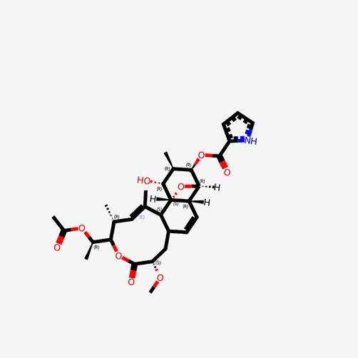 CO[C@H]1CC2C=C[C@H]3[C@H]4O[C@]2(/C(C)=C/[C@@H](C)C([C@@H](C)OC(C)=O)OC1=O)[C@@H]3[C@H](O)[C@@H](C)[C@H]4OC(=O)c1ccc[nH]1